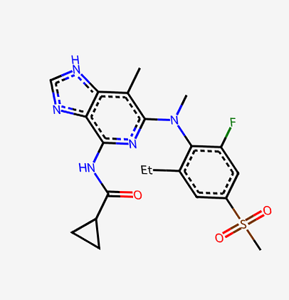 CCc1cc(S(C)(=O)=O)cc(F)c1N(C)c1nc(NC(=O)C2CC2)c2nc[nH]c2c1C